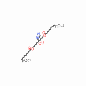 CCCCCCCC/C=C\CCCCCCCC(=O)OCCCCCC(O)C(CCCCOC(=O)CCCCCCC/C=C\CCCCCCCC)CN(C)CCN(C)C